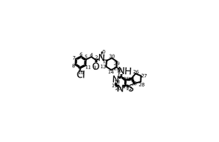 CN(C(=O)Cc1cccc(Cl)c1)[C@H]1CC[C@H](Nc2ncnc3sc4c(c23)CCC4)CC1